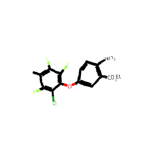 CCOC(=O)c1cc(Oc2c(F)c(F)c(C)c(F)c2Cl)ccc1[N+](=O)[O-]